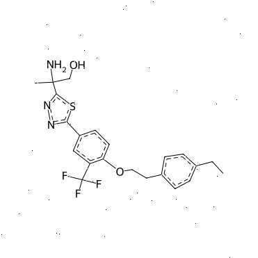 CCc1ccc(CCOc2ccc(-c3nnc(C(C)(N)CO)s3)cc2C(F)(F)F)cc1